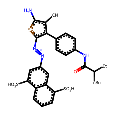 CCCCC(CC)C(=O)Nc1ccc(-c2c(/N=N/c3cc(S(=O)(=O)O)c4cccc(S(=O)(=O)O)c4c3)sc(N)c2C#N)cc1